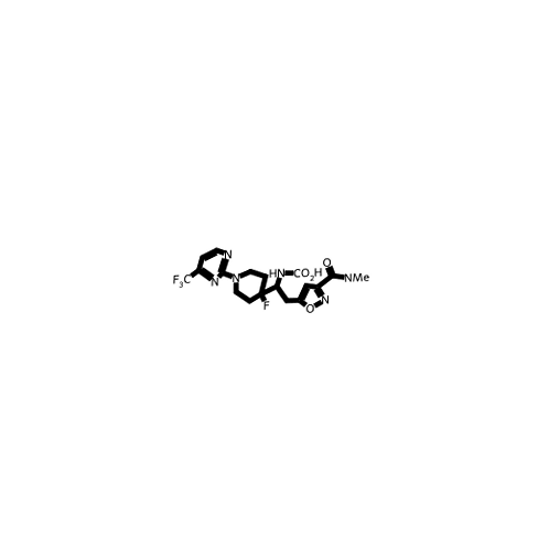 CNC(=O)c1cc(CC(NC(=O)O)C2(F)CCN(c3nccc(C(F)(F)F)n3)CC2)on1